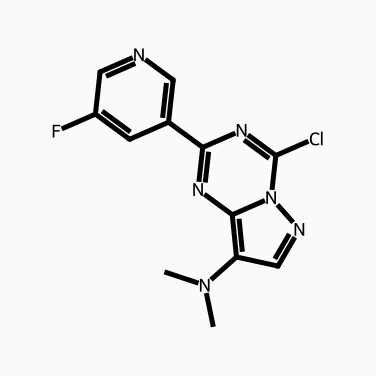 CN(C)c1cnn2c(Cl)nc(-c3cncc(F)c3)nc12